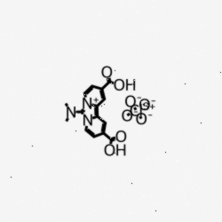 CN(C)c1n2ccc(C(=O)O)cc2c2cc(C(=O)O)cc[n+]12.[O-][Cl+3]([O-])([O-])[O-]